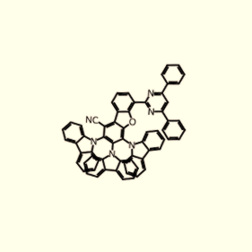 N#Cc1c(-n2c3ccccc3c3ccccc32)c(-n2c3ccccc3c3ccccc32)c(-n2c3ccccc3c3ccccc32)c2oc3c(-c4nc(-c5ccccc5)cc(-c5ccccc5)n4)cccc3c12